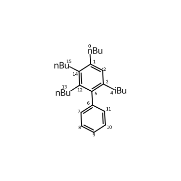 CCCCc1[c]c(C(C)CC)c(-c2ccccc2)c(CCCC)c1CCCC